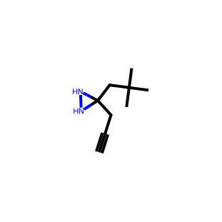 C#CCC1(CC(C)(C)C)NN1